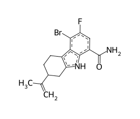 C=C(C)C1CCc2c([nH]c3c(C(N)=O)cc(F)c(Br)c23)C1